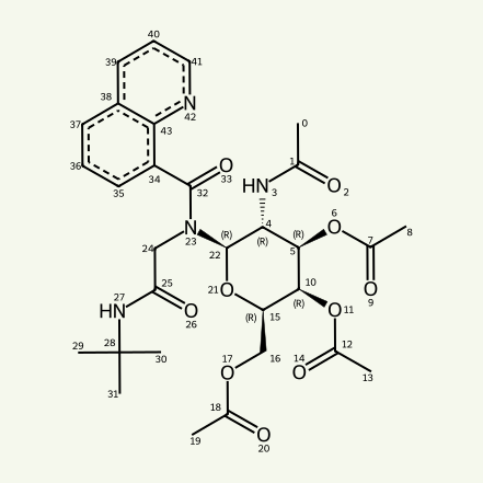 CC(=O)N[C@@H]1[C@@H](OC(C)=O)[C@@H](OC(C)=O)[C@@H](COC(C)=O)O[C@H]1N(CC(=O)NC(C)(C)C)C(=O)c1cccc2cccnc12